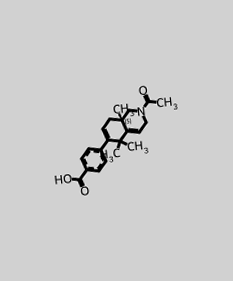 CC(=O)N1CC=C2C(C)(C)C(c3ccc(C(=O)O)cc3)=CC[C@]2(C)C1